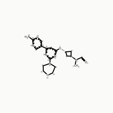 CN(C=O)[C@H]1C[C@H](Oc2cc(-c3cnc(N)nc3)nc(N3CCOCC3)n2)C1